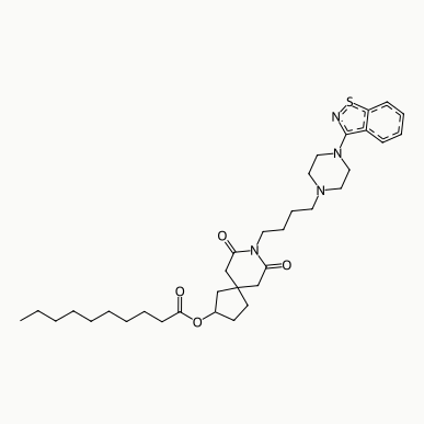 CCCCCCCCCC(=O)OC1CCC2(CC(=O)N(CCCCN3CCN(c4nsc5ccccc45)CC3)C(=O)C2)C1